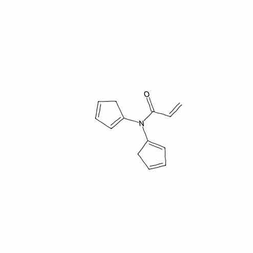 C=CC(=O)N(C1=CC=CC1)C1=CC=CC1